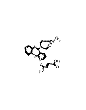 CN1CCN(C2=Nc3ccccc3Oc3ncccc32)CC1.O=C(O)C=CC(=O)O